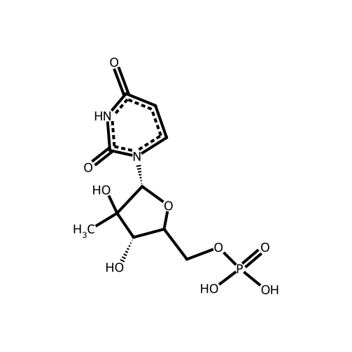 CC1(O)[C@@H](O)C(COP(=O)(O)O)O[C@H]1n1ccc(=O)[nH]c1=O